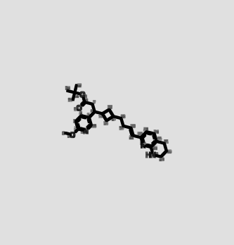 COc1ccc(C(CC(=O)OC(C)(C)C)C2CC(CC/C=C/c3ccc4c(n3)NCCC4)C2)cn1